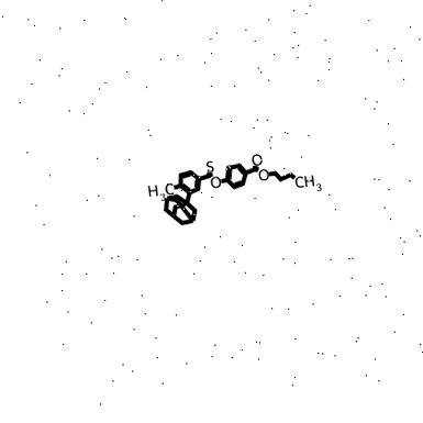 CCCCOC(=O)c1ccc(OC(=S)c2ccc(C)c(C34CC5CC(CC(C5)C3)C4)c2)cc1